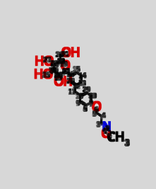 CON=CCCOc1ccc(Cc2cccc([C@@H]3O[C@H](CO)[C@@H](O)[C@H](O)[C@H]3O)c2)cc1